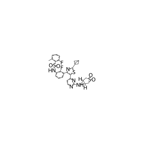 Cc1cccc(F)c1S(=O)(=O)Nc1cccc(-c2nc(C34CC(C3)C4)sc2-c2ccnc(N[C@@H]3[C@@H]4CS(=O)(=O)C[C@@H]43)n2)c1F